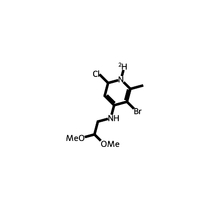 [2H]N1C(C)=C(Br)C(NCC(OC)OC)=CC1Cl